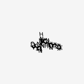 c1cc(-c2cncc3[nH]c(-c4n[nH]c5cnc(-c6cncc(CN7CCCCC7)c6)cc45)nc23)co1